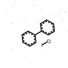 ClI.c1ccc(-c2ccccc2)cc1